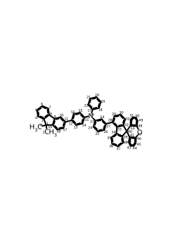 CC1(C)c2ccccc2-c2cc(-c3ccc(N(c4ccccc4)c4cccc(-c5cccc6c5-c5ccccc5C65c6ccccc6Oc6ccccc65)c4)cc3)ccc21